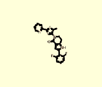 Cc1sc(-c2ccccn2)nc1N1CCc2[nH]c(-c3c(F)cccc3F)cc2C1=O